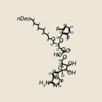 CCCCCCCCCCCCCCCCCCOC[C@H](COP(=O)(O)OCC1O[C@@](C)(c2ccc3c(N)ncnn23)[C@H](O)[C@@H]1O)OCc1c(F)cccc1F